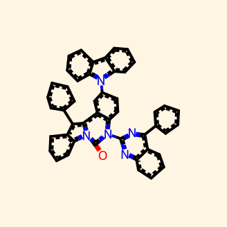 O=c1n(-c2nc(-c3ccccc3)c3ccccc3n2)c2ccc(-n3c4ccccc4c4ccccc43)cc2c2c(-c3ccccc3)c3ccccc3n12